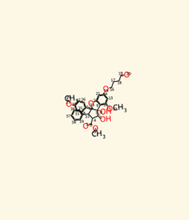 COC(=O)C1C(O)C2(O)c3c(OC)cc(OCCCC=O)cc3OC2(c2ccc(OC)cc2)C1c1ccccc1